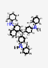 CCN(c1ccc(C(c2ccc(N(CC)c3ccccc3C)cc2)c2ccc(NC3CCCCC3C)c3ccccc23)cc1)c1ccccc1C